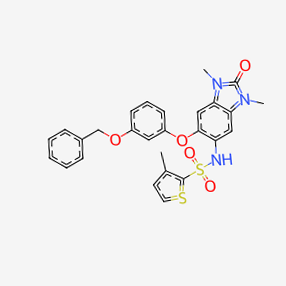 Cc1ccsc1S(=O)(=O)Nc1cc2c(cc1Oc1cccc(OCc3ccccc3)c1)n(C)c(=O)n2C